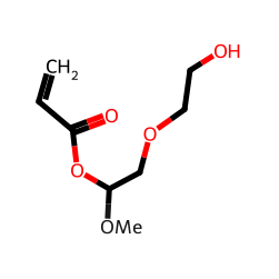 C=CC(=O)OC(COCCO)OC